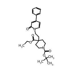 CCOC(=O)C1(CCn2ccc(-c3ccccc3)cc2=O)CCN(C(=O)OC(C)(C)C)CC1